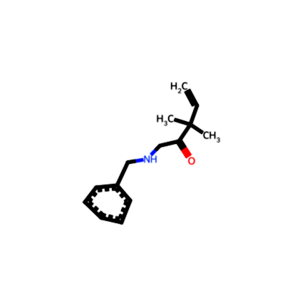 C=CC(C)(C)C(=O)CNCc1ccccc1